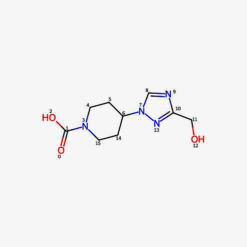 O=C(O)N1CCC(n2cnc(CO)n2)CC1